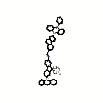 CC1(C)c2cc(/C=C/c3ccc4c(ccc5cc(N6c7ccccc7N(c7ccccc7)c7ccccc76)ccc54)c3)ccc2C2C=CC(N3C4=C(C=CCC4)Cc4ccccc43)=CC21